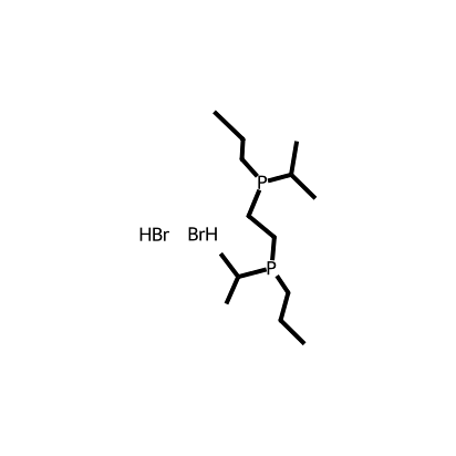 Br.Br.CCCP(CCP(CCC)C(C)C)C(C)C